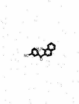 N#Cc1cccc(C(=O)c2ccc3ccccc3c2N)c1